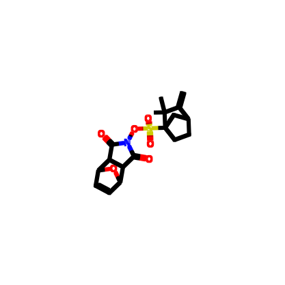 C=C1C2CCC(S(=O)(=O)ON3C(=O)C4C5C=CC(O5)C4C3=O)(C2)C1(C)C